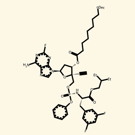 C#C[C@]1(CO[P@@](=O)(N[C@@H](Cc2cc(F)cc(F)c2)C(=O)OCC(CC)CC)Oc2ccccc2)O[C@@H](n2cnc3c(N)nc(F)nc32)C[C@@H]1OC(=O)CCCCCCCCCCCCCCCCC